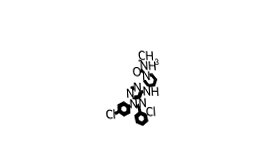 CCNC(=O)N1CCCC(Nc2ncnc3c2nc(-c2ccccc2Cl)n3-c2ccc(Cl)cc2)C1